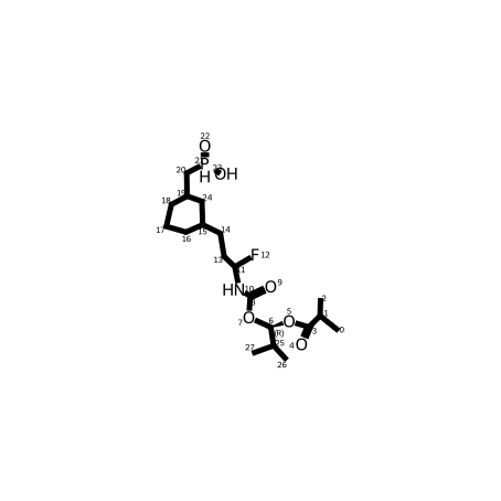 CC(C)C(=O)O[C@H](OC(=O)NC(F)CCC1CCCC(C[PH](=O)O)C1)C(C)C